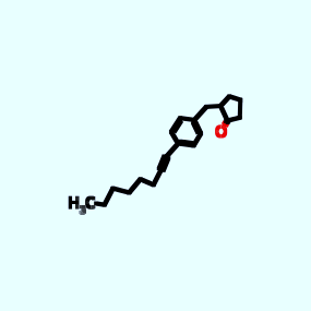 CCCCCCC#Cc1ccc(CC2CCCC2=O)cc1